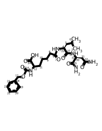 CC(C)C[C@H](NC(=O)CCCCC(NC(=O)OCc1ccccc1)C(=O)O)C(=O)N[C@@H](CC(N)=O)C(N)=O